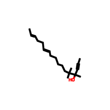 CC#CC(C)(O)C(C)(C)CCCCCC=CCCC=CC